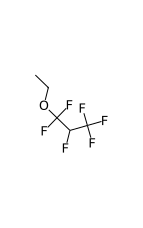 CCOC(F)(F)C(F)C(F)(F)F